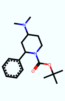 CN(C)C1CCN(C(=O)OC(C)(C)C)C(c2ccccc2)C1